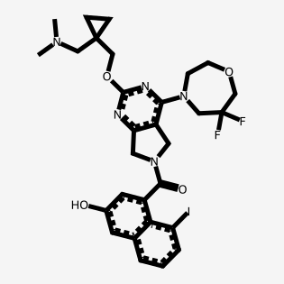 CN(C)CC1(COc2nc3c(c(N4CCOCC(F)(F)C4)n2)CN(C(=O)c2cc(O)cc4cccc(I)c24)C3)CC1